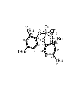 CC(C)(C)c1ccc(OP(O)(F)(Oc2ccc(C(C)(C)C)cc2C(C)(C)C)C(F)(F)F)c(C(C)(C)C)c1